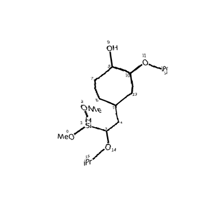 CO[SiH](OC)C(CC1CCC(O)C(OC(C)C)C1)OC(C)C